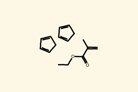 C1=CCC=C1.C1=CCC=C1.C=C(C)C(=O)OCC